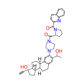 C#C[C@]1(O)CC[C@H]2[C@@H]3CCc4cc(C(C)O)c(N5CCN(C(=O)[C@@H]6CCCN6C(=O)c6ccc7ccccc7n6)CC5)cc4[C@H]3CC[C@@]21C